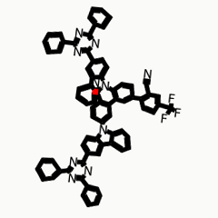 N#Cc1cc(C(F)(F)F)ccc1-c1ccc(-n2c3ccccc3c3cc(-c4nc(-c5ccccc5)nc(-c5ccccc5)n4)ccc32)c(-c2cc(-n3c4ccccc4c4cc(-c5nc(-c6ccccc6)nc(-c6ccccc6)n5)ccc43)ccc2C#N)c1